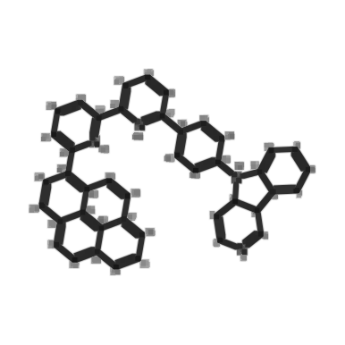 C1=CC2C(C=N1)c1ccccc1N2c1ccc(-c2cccc(-c3cccc(-c4ccc5ccc6cccc7ccc4c5c67)n3)n2)cc1